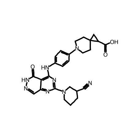 N#CC1CCCN(c2nc(Nc3ccc(N4CCC5(CC4)CC5C(=O)O)cc3)c3c(=O)[nH]ncc3n2)C1